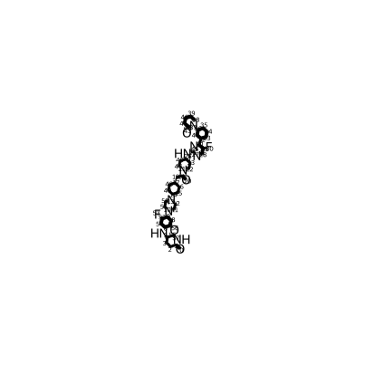 O=C1CCC(Nc2ccc(N3CCN([C@H]4CC[C@H](CC(=O)N5CCC(Nc6ncc(F)c(-c7cccc(-n8ccccc8=O)c7)n6)CC5)CC4)CC3)c(F)c2)C(=O)N1